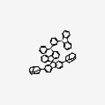 c1ccc(N(c2cccc(-n3c4ccccc4c4ccccc43)c2)c2cccc3c2-c2ccccc2C32c3cc(C45CC6CC(CC(C6)C4)C5)ccc3-c3ccc(C45CC6CC(CC(C6)C4)C5)cc32)cc1